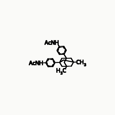 CC(=O)Nc1ccc(C23CC4(C)CC(C)(C2)CC(c2ccc(NC(C)=O)cc2)(C4)C3)cc1